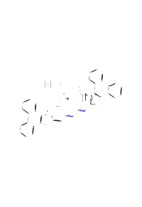 O=COCCN1\C(=C/C=C/C=C/c2oc3c4ccccc4c4ccccc4c3[n+]2CCC(=O)O)Sc2c1c1ccccc1c1ccccc21